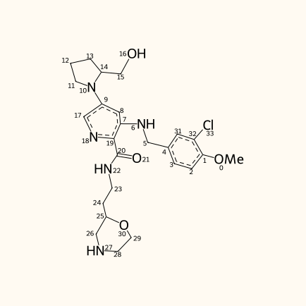 COc1ccc(CNc2cc(N3CCCC3CO)cnc2C(=O)NCCC2CNCCO2)cc1Cl